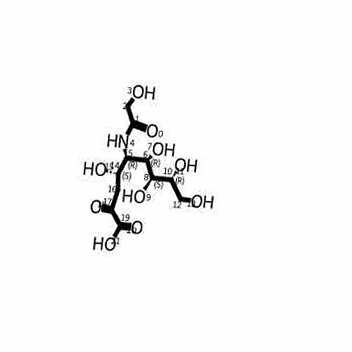 O=C(CO)N[C@@H]([C@@H](O)[C@H](O)[C@H](O)CO)[C@@H](O)CC(=O)C(=O)O